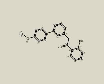 O=C(Cc1cccc(-c2ccc(OC(F)(F)F)cc2)c1)c1ccccc1F